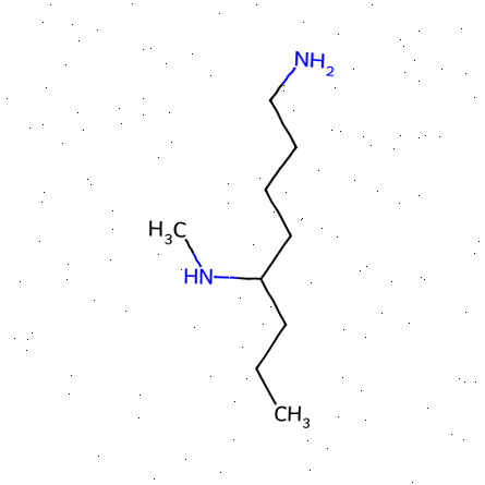 CCCC(CCCCN)NC